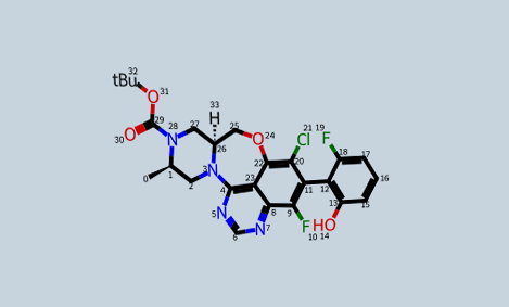 C[C@@H]1CN2c3ncnc4c(F)c(-c5c(O)cccc5F)c(Cl)c(c34)OC[C@@H]2CN1C(=O)OC(C)(C)C